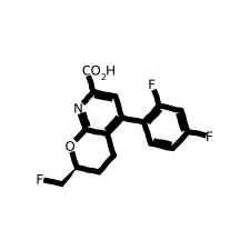 O=C(O)c1cc(-c2ccc(F)cc2F)c2c(n1)O[C@H](CF)CC2